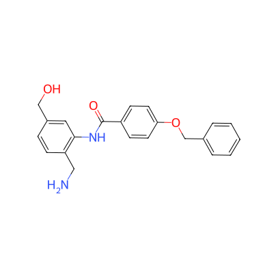 NCc1ccc(CO)cc1NC(=O)c1ccc(OCc2ccccc2)cc1